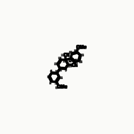 COc1cccc(C2=CC(C#N)C(C#N)(c3cccc(OC)c3)C=C2)c1